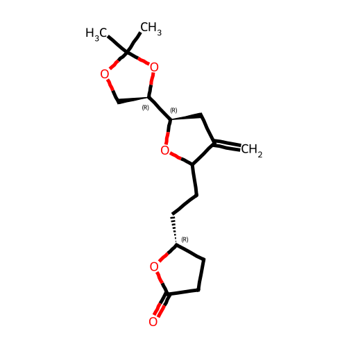 C=C1C[C@H]([C@H]2COC(C)(C)O2)OC1CC[C@@H]1CCC(=O)O1